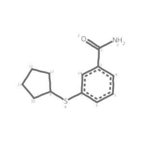 NC(=O)c1cccc(SC2CCCC2)c1